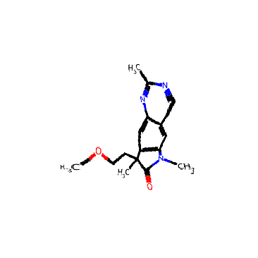 COCCC1(C)C(=O)N(C)c2cc3cnc(C)nc3cc21